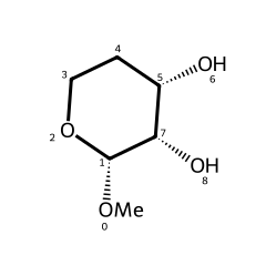 CO[C@@H]1OCC[C@H](O)[C@@H]1O